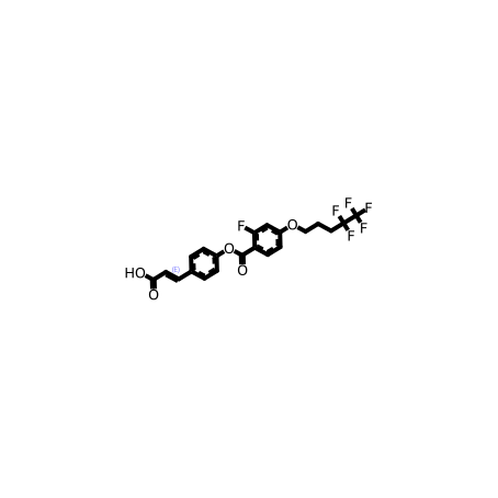 O=C(O)/C=C/c1ccc(OC(=O)c2ccc(OCCCC(F)(F)C(F)(F)F)cc2F)cc1